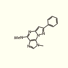 CNc1nc2cc(-c3ccccc3)nn2c2c1ncn2C